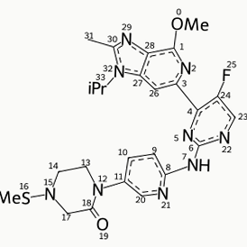 COc1nc(-c2nc(Nc3ccc(N4CCN(SC)CC4=O)cn3)ncc2F)cc2c1nc(C)n2C(C)C